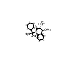 COC1C=C(N)N(C(C)(N)C2CCCCC2)c2ccccc21.Cl.Cl